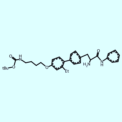 CCc1cc(OCCCCNC(=O)OC(C)(C)C)ccc1-c1ccc(CC(N)C(=O)Nc2ccccc2)cc1